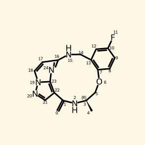 C=C1N[C@H](C)COc2ccc(F)cc2CNc2ccn3ncc1c3n2